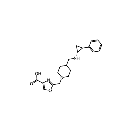 O=C(O)c1coc(CN2CCC(CN[C@@H]3C[C@H]3c3ccccc3)CC2)n1